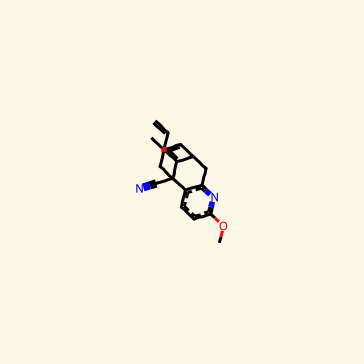 C=C/C=C1\C2C=C(C)CC1(C#N)c1ccc(OC)nc1C2